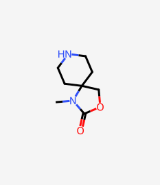 CN1C(=O)OCC12CCNCC2